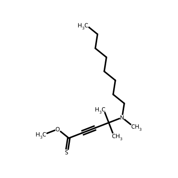 CCCCCCCCN(C)C(C)(C)C#CC(=S)OC